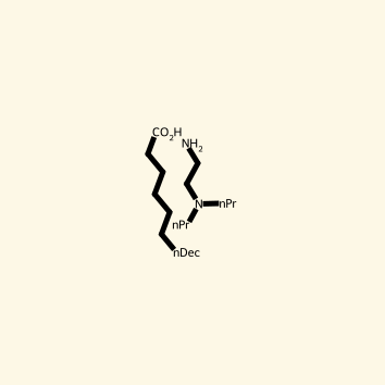 CCCCCCCCCCCCCCCC(=O)O.CCCN(CCC)CCN